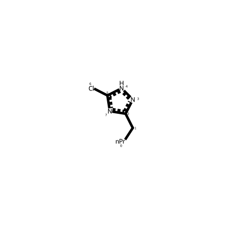 CCCCc1n[nH]c(Cl)n1